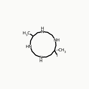 CC1CNCCNCC[C@](C)(I)CNCCNC1